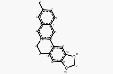 Cc1ccc2cc3[n+](cc2c1)CCc1cc2c(cc1-3)OCO2